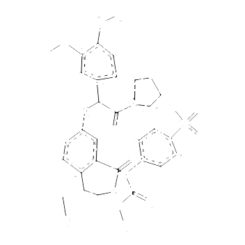 CC[C@H]1CNC(=O)c2cc(NC(C(=O)N3CCC[C@@H]3c3cc(NC(=O)OC)ccc3S(=O)(=O)I)c3ccc(OC)c(OC)c3)ccc21